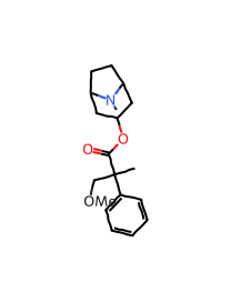 COCC(C)(C(=O)OC1CC2CCC(C1)N2C)c1ccccc1